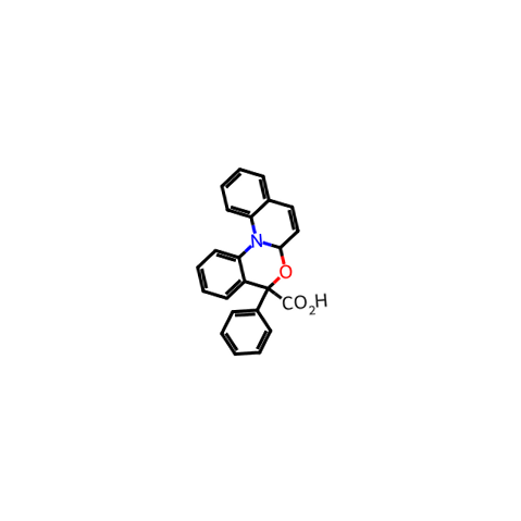 O=C(O)C1(c2ccccc2)OC2C=Cc3ccccc3N2c2ccccc21